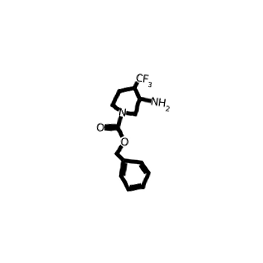 NC1CN(C(=O)OCc2ccccc2)CCC1C(F)(F)F